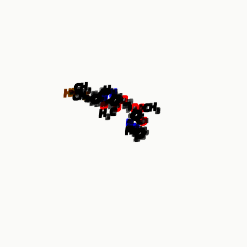 COc1cc2c(cc1OCCCOc1cc3c(cc1OC)C(=O)N1c4ccc(CSCCC(C)(C)S)cc4C[C@H]1C=N3)N=C[C@@H]1Cc3ccccc3N1C2=O